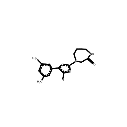 Cc1cc(N)cc(-c2sc(N3CCCNC(=O)C3)nc2Cl)c1